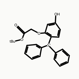 CC(C)(C)OC(=O)COc1cc(O)ccc1[S+](c1ccccc1)c1ccccc1